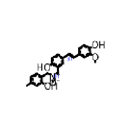 COc1cc(/C=C/c2ccc(O)c(/C=[N+](/[O-])Cc3ccc(C)cc3O)c2)ccc1O